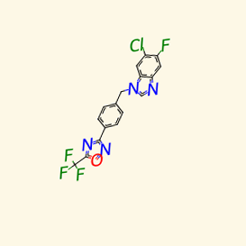 Fc1cc2ncn(Cc3ccc(-c4noc(C(F)(F)F)n4)cc3)c2cc1Cl